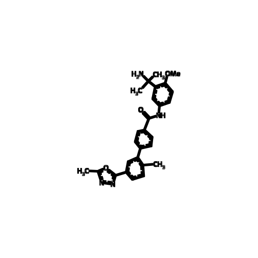 COc1ccc(NC(=O)c2ccc(-c3cc(-c4nnc(C)o4)ccc3C)cc2)cc1C(C)(C)N